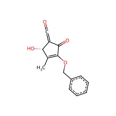 CC1=C(OCc2ccccc2)C(=O)C(=C=O)[C@H]1O